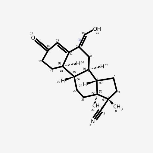 C[C@]1(C#N)CC[C@H]2[C@@H]3C/C(=C\O)C4=CC(=O)CC[C@@H]4[C@H]3CC[C@@]21C